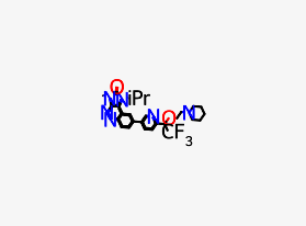 CC(C)n1c(=O)n(C)c2nnc3ccc(-c4ccc(C(OCCN5CCCCC5)C(F)(F)F)nc4)cc3c21